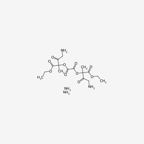 CCOC(=O)C(C)(OC(=O)C(=O)OC(C)(C(=O)CN)C(=O)OCC)C(=O)CN.N.N